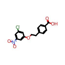 O=C(O)c1ccc(CCOc2cc(Cl)cc([N+](=O)[O-])c2)cc1